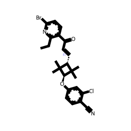 CCc1nc(Br)ccc1C(=O)/C=C/[C@H]1C(C)(C)[C@H](Oc2ccc(C#N)c(Cl)c2)C1(C)C